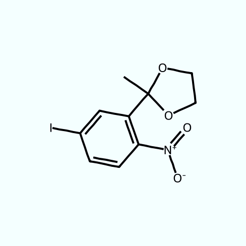 CC1(c2cc(I)ccc2[N+](=O)[O-])OCCO1